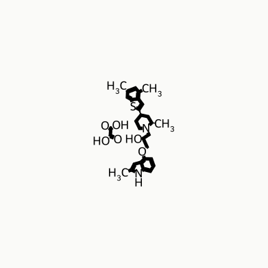 Cc1cc(C)c2cc([C@@H]3CCN(C[C@H](O)COc4cccc5[nH]c(C)cc45)[C@@H](C)C3)sc2c1.O=C(O)C(=O)O